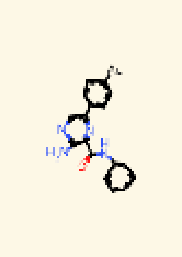 CC(=O)c1ccc(-c2cnc(N)c(C(=O)Nc3ccccc3)n2)cc1